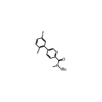 CN(C(=O)c1ccc(-c2cc(F)ccc2F)cn1)C(C)(C)C